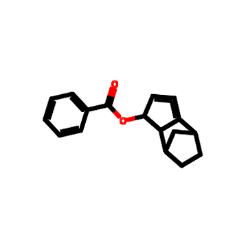 O=C(OC1C=C=C2C3CCC(C3)C21)c1ccccc1